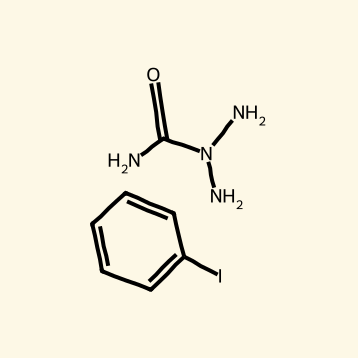 Ic1ccccc1.NC(=O)N(N)N